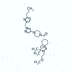 CCCc1nc(Cn2cc(N3CCN(C(=O)[C@H]4CC[C@H](CN(CCOC)C(C)(C)C)CC4)CC3)cn2)cs1